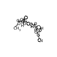 CCCCOC(=O)[C@H](C)NP(=O)(Cc1ccc2sc(C(=O)N[C@H]3CCC[C@H]4CC[C@@H](C(=O)N5CC(c6cccnc6)C5)N4C3=O)cc2c1)Oc1ccccc1